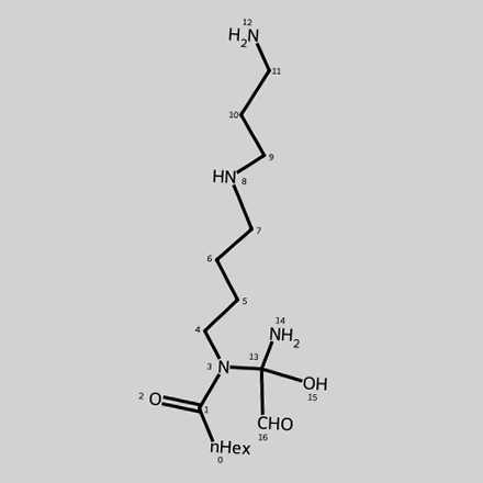 CCCCCCC(=O)N(CCCCNCCCN)C(N)(O)C=O